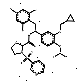 O=C(O[C@@H](Cc1c(Cl)c[n+]([O-])cc1Cl)c1ccc(OC(F)F)c(OCC2CC2)c1)C1SCCN1S(=O)(=O)c1cccnc1